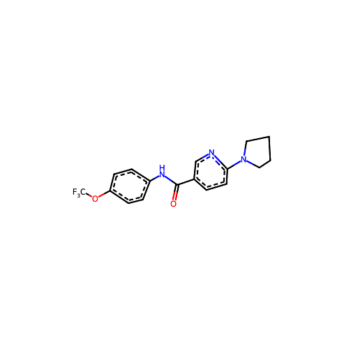 O=C(Nc1ccc(OC(F)(F)F)cc1)c1ccc(N2CCCC2)nc1